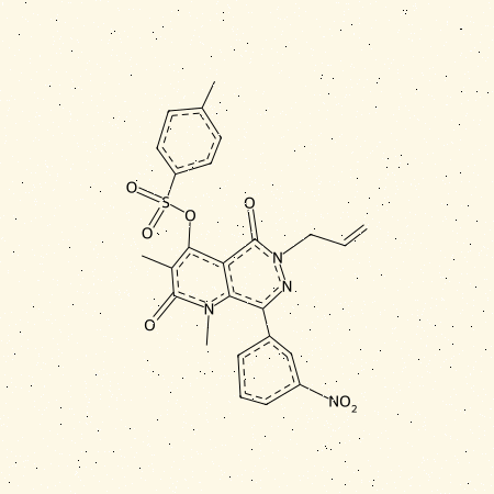 C=CCn1nc(-c2cccc([N+](=O)[O-])c2)c2c(c(OS(=O)(=O)c3ccc(C)cc3)c(C)c(=O)n2C)c1=O